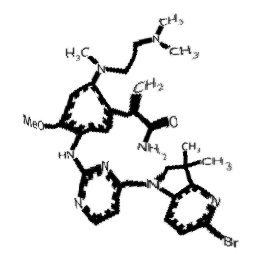 C=C(C(N)=O)c1cc(Nc2nccc(N3CC(C)(C)c4nc(Br)ccc43)n2)c(OC)cc1N(C)CCN(C)C